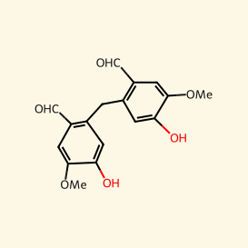 COc1cc(C=O)c(Cc2cc(O)c(OC)cc2C=O)cc1O